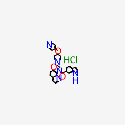 Cl.O=C(CN(C(=O)c1ccc2cc[nH]c2c1)c1cccc2cccnc12)N1CCC(Oc2ccncc2)CC1